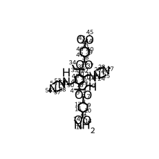 CCCC(C)(OC(=O)C1CCC(C(=O)ON)CC1)c1cc(CNN2CCN(C)CC2)c(C(C)(CC)OC(=O)C2CCC(C(=O)OC)CC2)cc1CNN1CCN(C)CC1